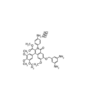 COC(=O)c1c(-c2cc(OC)c(OC)c(OC)c2)c2cc(OC)c(OCc3cc(N)cc(N)c3)cc2c(=O)n1-c1ccc(N)cc1.Cl.Cl.Cl